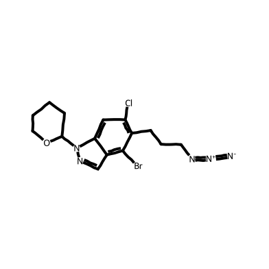 [N-]=[N+]=NCCCc1c(Cl)cc2c(cnn2C2CCCCO2)c1Br